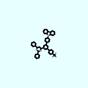 FC(F)(F)c1ccc(-c2cc(-c3ccc(-n4c5ccccc5c5ccccc54)cc3)cc(-c3cc(-c4ccccc4)nc(-c4ccccc4)n3)c2)cc1